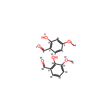 COc1ccc(C=O)c(O)c1.COc1cccc(C=O)c1O